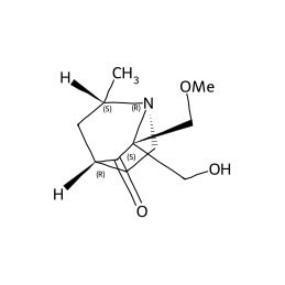 COC[C@@]1(CO)C(=O)[C@@H]2CC[N@@]1[C@@H](C)C2